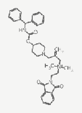 C=C(CN1CCC(OC(=O)NC(c2ccccc2)c2ccccc2)CC1)C[N+](C)(C)CCN1C(=O)c2ccccc2C1=O